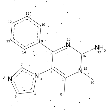 CC1=C(n2ccnc2)C(c2ccccc2)=NC(N)N1C